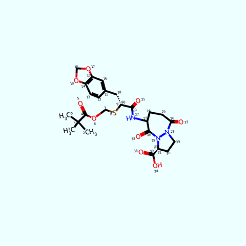 CC(C)(C)C(=O)OCS[C@H](Cc1ccc2c(c1)OCO2)C(=O)NC1CCC(=O)N2CC[C@@H](C(=O)O)N2C1=O